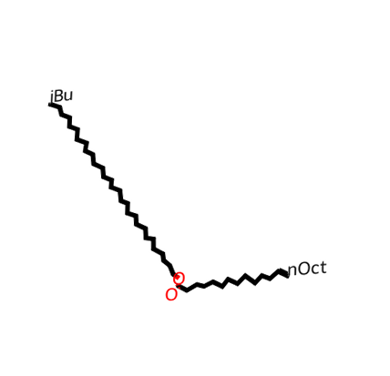 CCCCCCCCC=CCCCCCCCCCCCC(=O)OCCCCCCCCCCCCCCCCCCCCCCCCCCCCCC(C)CC